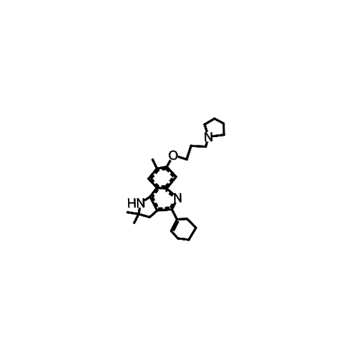 Cc1cc2c3c(c(C4=CCCCC4)nc2cc1OCCCN1CCCC1)CC(C)(C)N3